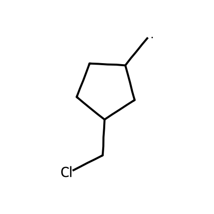 [CH2]C1CCC(CCl)C1